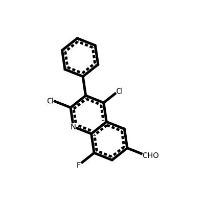 O=Cc1cc(F)c2nc(Cl)c(-c3ccccc3)c(Cl)c2c1